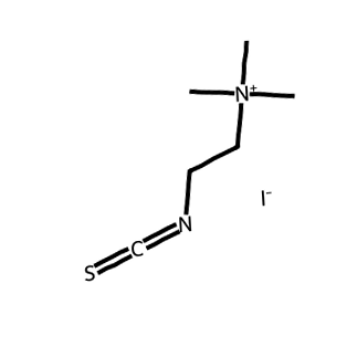 C[N+](C)(C)CCN=C=S.[I-]